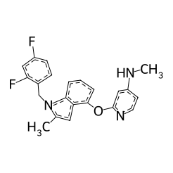 CNc1ccnc(Oc2cccc3c2cc(C)n3Cc2ccc(F)cc2F)c1